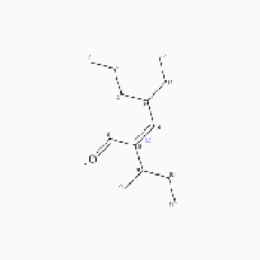 CCCC(/C=C(\C=O)C(C)CC)CC